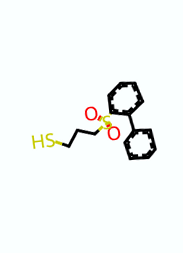 O=S(=O)(CCCS)c1ccccc1-c1ccccc1